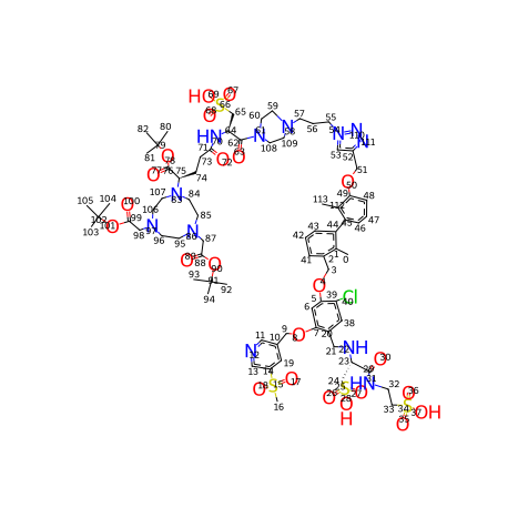 Cc1c(COc2cc(OCc3cncc(S(C)(=O)=O)c3)c(CN[C@@H](CS(=O)(=O)O)C(=O)NCCS(=O)(=O)O)cc2Cl)cccc1-c1cccc(OCc2cn(CCCN3CCN(C(=O)[C@H](CS(=O)(=O)O)NC(=O)CC[C@H](C(=O)OC(C)(C)C)N4CCN(CC(=O)OC(C)(C)C)CCN(CC(=O)OC(C)(C)C)CC4)CC3)nn2)c1C